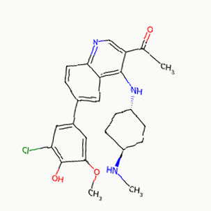 CN[C@H]1CC[C@H](Nc2c(C(C)=O)cnc3ccc(-c4cc(Cl)c(O)c(OC)c4)cc23)CC1